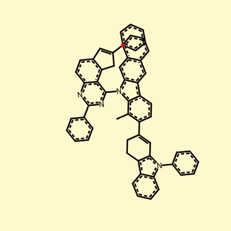 Cc1c(C2=Cc3c(c4ccccc4n3-c3ccccc3)CC2)ccc2c3cc4ccccc4cc3n(-c3nc(-c4ccccc4)nc4ccc5c(c34)CC(c3ccccc3)=C5)c12